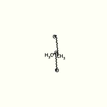 CCCC(CCCCCCCCCCCC1CCO1)OC(CCC)CCCCCCCCCCCC1CCO1